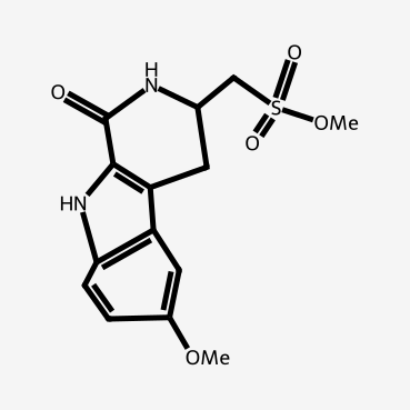 COc1ccc2[nH]c3c(c2c1)CC(CS(=O)(=O)OC)NC3=O